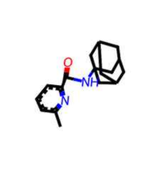 Cc1cccc(C(=O)NC23CC4CC(CC(C4)C2)C3)n1